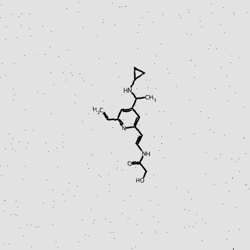 C=Cc1cc(C(C)NC2CC2)cc(/C=C/NC(=O)CO)n1